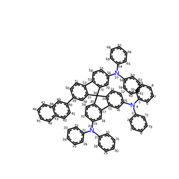 c1ccc(N(c2ccccc2)c2ccc3c(c2)-c2cc(N(c4ccccc4)c4ccccc4)ccc2C32c3cc(-c4ccc5ccccc5c4)ccc3-c3ccc(N(c4ccccc4)c4ccccc4)cc32)cc1